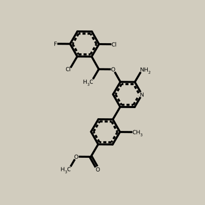 COC(=O)c1ccc(-c2cnc(N)c(OC(C)c3c(Cl)ccc(F)c3Cl)c2)c(C)c1